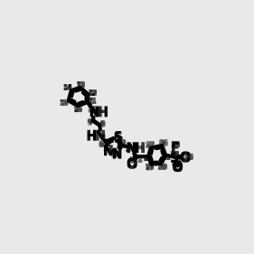 O=C(Nc1nnc(NCCNc2ccccc2)s1)c1ccc(S(=O)(=O)F)cc1